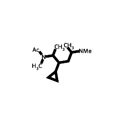 CNC(C)CC(C1CC1)C(C)N(C)C(C)=O